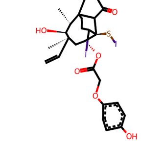 C=C[C@]1(C)C[C@@H](OC(=O)COc2ccc(O)cc2)[C@]2(SI)C(I)CCC3(CCC(=O)C32)[C@@H](C)[C@@H]1O